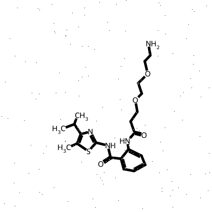 Cc1sc(NC(=O)c2ccccc2NC(=O)CCOCCOCCN)nc1C(C)C